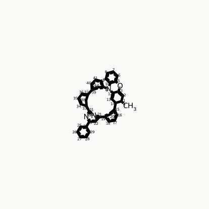 CC1C=C2Oc3ccccc3N3C2=CC1c1cccc(c1)-c1cc(-c2ccccc2)nc(n1)C1C=CC=C(C1)c1cccc3c1